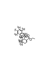 [2H]c1c([2H])c(NS(=O)(=O)[C@H]2C(C(=O)OCC)=CCC([2H])([2H])C2([2H])[2H])c(Cl)c([2H])c1F